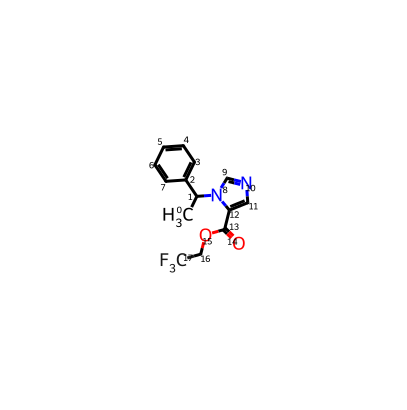 CC(c1ccccc1)n1cncc1C(=O)OCC(F)(F)F